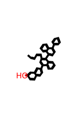 C/C=C\C=C/c1cc(-c2ccc3ccc(O)cc3c2)c2ccccc2c1-c1ccc(-c2ccccc2)c2ccccc12